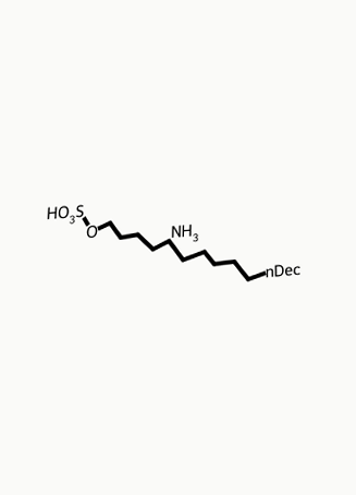 CCCCCCCCCCCCCCCCCCCCOS(=O)(=O)O.N